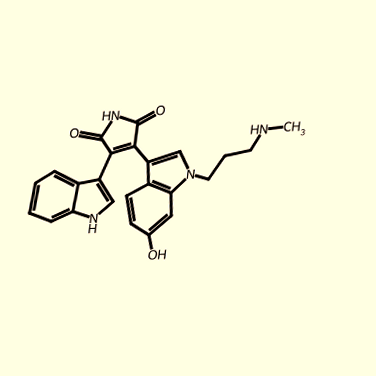 CNCCCn1cc(C2=C(c3c[nH]c4ccccc34)C(=O)NC2=O)c2ccc(O)cc21